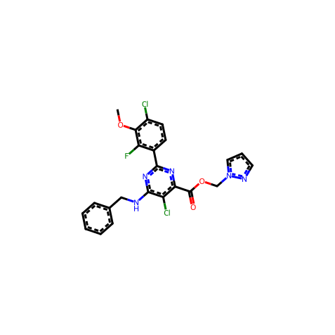 COc1c(Cl)ccc(-c2nc(NCc3ccccc3)c(Cl)c(C(=O)OCn3cccn3)n2)c1F